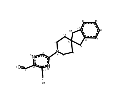 O=Cc1ncc(N2CCC3(CC2)Cc2ccccc2C3)nc1Cl